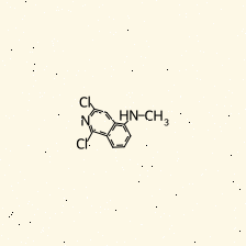 CNc1cccc2c(Cl)nc(Cl)cc12